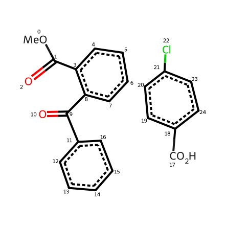 COC(=O)c1ccccc1C(=O)c1ccccc1.O=C(O)c1ccc(Cl)cc1